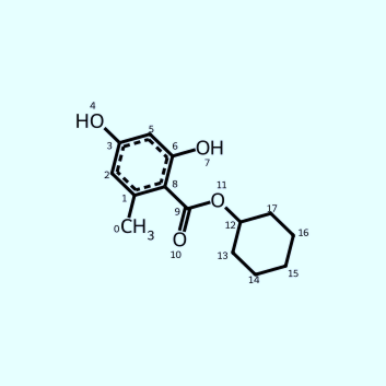 Cc1cc(O)cc(O)c1C(=O)OC1CCCCC1